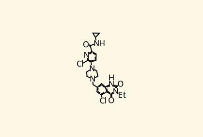 CCn1c(=O)[nH]c2cc(CN3CCN(c4ccc(C(=O)NC5CC5)nc4Cl)CC3)cc(Cl)c2c1=O